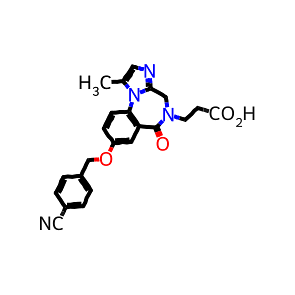 Cc1cnc2n1-c1ccc(OCc3ccc(C#N)cc3)cc1C(=O)N(CCC(=O)O)C2